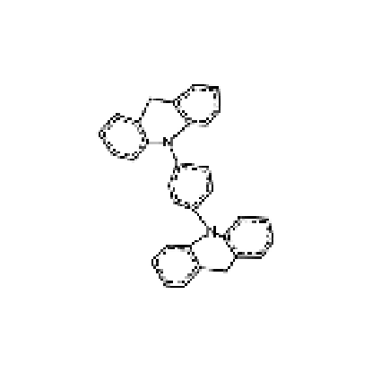 c1ccc2c(c1)Cc1ccccc1N2c1ccc(N2c3ccccc3Cc3ccccc32)cc1